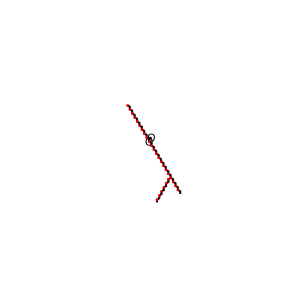 CCCCCCCCCCCCCCCCCC(=O)OCCCCCCCCCCCCCCCCCC(CCCCCCCC)CCCCCCCCCCCC